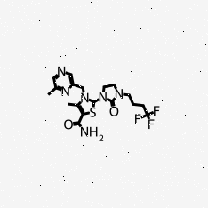 CC1=C(C(N)=O)SC(N2CCN(CCCC(F)(F)F)C2=O)N1Cc1cncc(C)n1